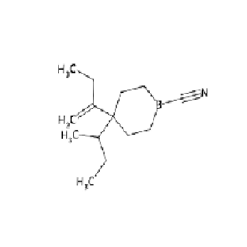 C=C(CC)C1(C(C)CC)CCB(C#N)CC1